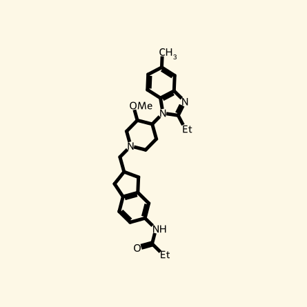 CCC(=O)Nc1ccc2c(c1)CC(CN1CCC(n3c(CC)nc4cc(C)ccc43)C(OC)C1)C2